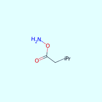 CC(C)CC(=O)ON